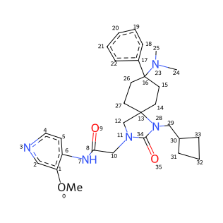 COc1cnccc1NC(=O)CN1CC2(CCC(c3ccccc3)(N(C)C)CC2)N(CC2CCC2)C1=O